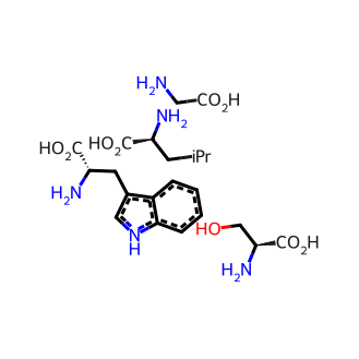 CC(C)C[C@H](N)C(=O)O.NCC(=O)O.N[C@@H](CO)C(=O)O.N[C@@H](Cc1c[nH]c2ccccc12)C(=O)O